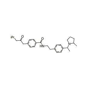 CC(C)CC(=O)Cc1ccc(C(=O)NCCc2ccc(C(C)N3CCCC3C)cc2)cc1